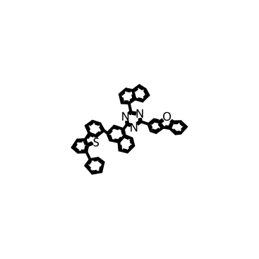 c1ccc(-c2cccc3c2sc2c(-c4cc(-c5nc(-c6ccc7c(c6)oc6ccccc67)nc(-c6cccc7ccccc67)n5)c5ccccc5c4)cccc23)cc1